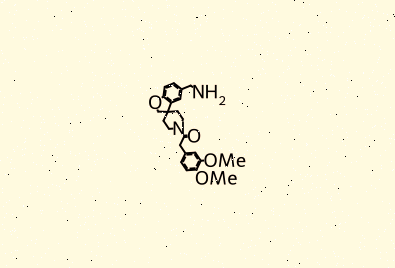 COc1ccc(CC(=O)N2CCC3(CC2)COc2ccc(CN)cc23)cc1OC